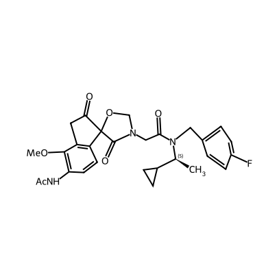 COc1c(NC(C)=O)ccc2c1CC(=O)C21OCN(CC(=O)N(Cc2ccc(F)cc2)[C@@H](C)C2CC2)C1=O